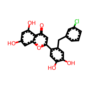 O=c1cc(-c2cc(O)c(O)cc2Cc2cccc(Cl)c2)oc2cc(O)cc(O)c12